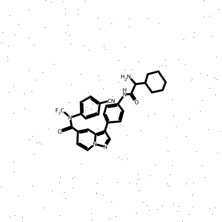 N#Cc1ccc(N(C(=O)c2ccn3ncc(-c4ccc(NC(=O)C(N)C5CCCCC5)cc4)c3c2)C(F)(F)F)cc1